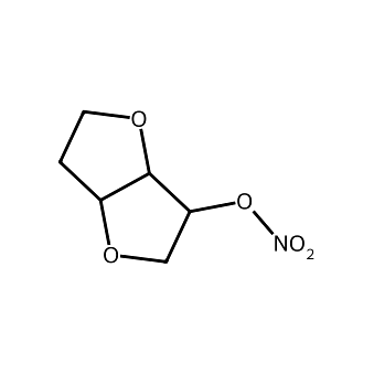 O=[N+]([O-])OC1COC2CCOC21